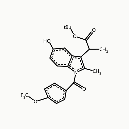 Cc1c(C(C)C(=O)OC(C)(C)C)c2cc(O)ccc2n1C(=O)c1ccc(OC(F)(F)F)cc1